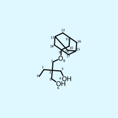 CCC(CO)(CO)COC12CC3CC(CC(C3)C1)C2